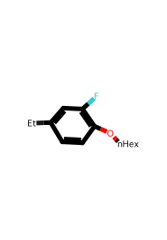 CCCCCCOc1ccc(CC)cc1F